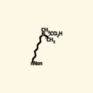 CCCCCCCCCCCCCCCCN(C)[C@@H](C)C(=O)O